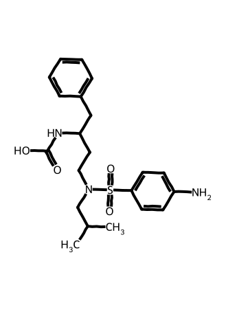 CC(C)CN(CCC(Cc1ccccc1)NC(=O)O)S(=O)(=O)c1ccc(N)cc1